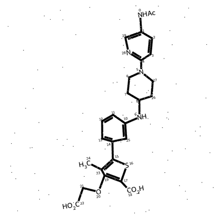 CC(=O)Nc1ccc(N2CCC(Nc3cccc(-c4sc(C(=O)O)c(OCC(=O)O)c4C)c3)CC2)nc1